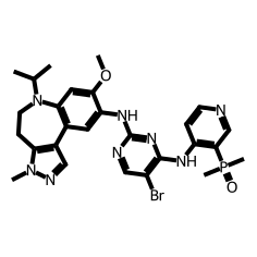 COc1cc2c(cc1Nc1ncc(Br)c(Nc3ccncc3P(C)(C)=O)n1)-c1cnn(C)c1CCN2C(C)C